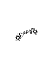 O=S(=O)(CCSOSCCS(=O)(=O)c1ccccc1)c1ccccc1